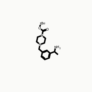 CC(N)c1cccc(CN2CCN(C(=O)OC(C)(C)C)CC2)c1